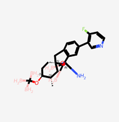 BC(B)(B)O[C@H]1CC[C@@]2(Cc3ccc(-c4cnccc4F)cc3[C@]23N=C(N)OC3(B)B)C[C@@H]1C